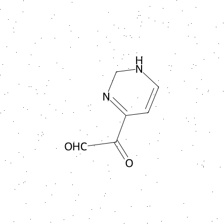 O=CC(=O)C1=NCNC=C1